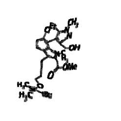 CCc1c(-c2c(Cl)ccc3c(CCCO[Si](C)(C)C(C)(C)C)c(C(=O)OC)n(C)c23)c(CO)nn1C